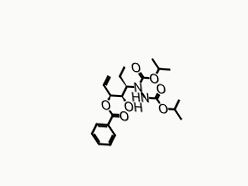 C=C[C@H](OC(=O)c1ccccc1)[C@H](O)[C@@H](CC)N(NC(=O)OC(C)C)C(=O)OC(C)C